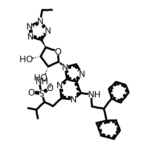 CCn1nnc([C@H]2O[C@@H](n3cnc4c(NCC(c5ccccc5)c5ccccc5)nc(CC(C(C)C)S(N)(=O)=O)nc43)[C@H](O)[C@@H]2O)n1